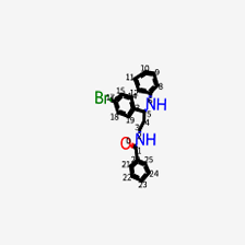 O=C(NCCC(Nc1ccccc1)c1ccc(Br)cc1)c1ccccc1